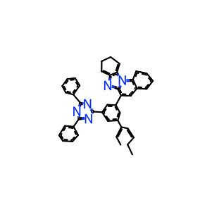 C/C=C(\C=C/CC)c1cc(-c2nc(-c3ccccc3)nc(-c3ccccc3)n2)cc(-c2cc3ccccc3n3c4c(nc23)=CCCC=4)c1